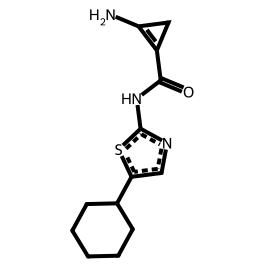 NC1=C(C(=O)Nc2ncc(C3CCCCC3)s2)C1